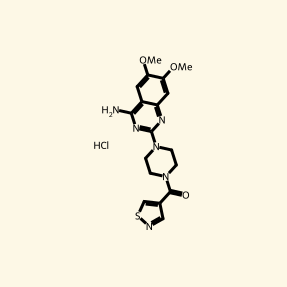 COc1cc2nc(N3CCN(C(=O)c4cnsc4)CC3)nc(N)c2cc1OC.Cl